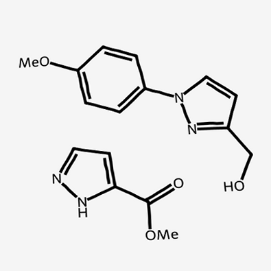 COC(=O)c1ccn[nH]1.COc1ccc(-n2ccc(CO)n2)cc1